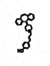 Oc1ccc(/C=C/CN2CCC(=C3c4ccccc4C=Cc4ccccc43)CC2)cc1